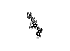 O=C(CNC(=O)c1ccc(C(F)=CC(c2ccc(F)c(F)c2)C(F)(F)F)cc1C(F)(F)F)NCC(F)(F)F